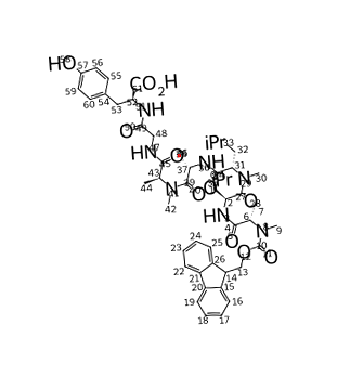 CC(C)C[C@H](NC(=O)[C@H](C)N(C)C(=O)OCC1c2ccccc2-c2ccccc21)C(=O)N(C)[C@@H](CC(C)C)C(=O)N[C@@H](C)C(=O)N(C)[C@@H](C)C(=O)NCC(=O)N[C@@H](Cc1ccc(O)cc1)C(=O)O